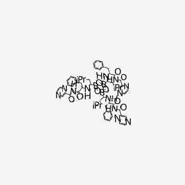 CC(C)CC(NC(Cc1ccccc1)C(=O)NC(=O)c1cnccn1)B1OB(C(CC(C)C)NC(Cc2ccccc2)C(=O)NC(=O)c2cnccn2)OB(C(CC(C)C)NC(Cc2ccccc2)C(=O)NC(=O)c2cnccn2)O1